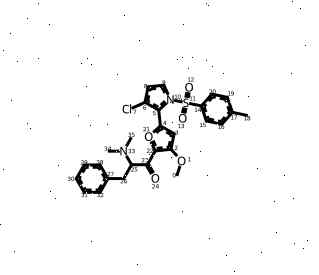 COc1cc(-c2c(Cl)ccn2S(=O)(=O)c2ccc(C)cc2)oc1C(=O)C(Cc1ccccc1)N(C)C